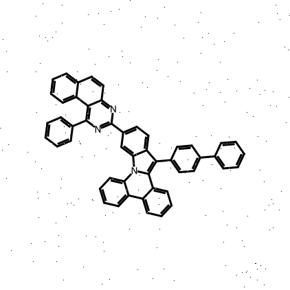 c1ccc(-c2ccc(-c3c4ccc(-c5nc(-c6ccccc6)c6c(ccc7ccccc76)n5)cc4n4c5ccccc5c5ccccc5c34)cc2)cc1